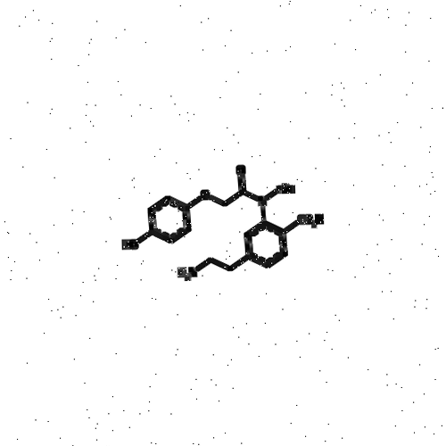 CCCCN(C(=O)COc1ccc(O)cc1)c1cc(CCN)ccc1C(=O)O